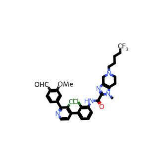 COc1cc(-c2nccc(-c3cccc(NC(=O)c4nc5c(n4C)CCN(CCCCC(F)(F)F)C5)c3Cl)c2Cl)ccc1C=O